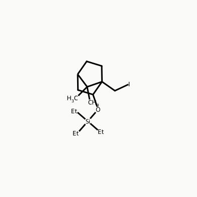 CC[Si](CC)(CC)OC1CC2CCC1(CI)C2(C)C